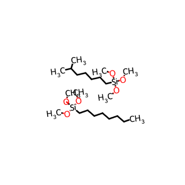 CCCCCCCC[Si](OC)(OC)OC.CO[Si](CCCCCC(C)C)(OC)OC